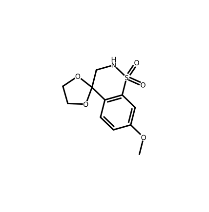 COc1ccc2c(c1)S(=O)(=O)NCC21OCCO1